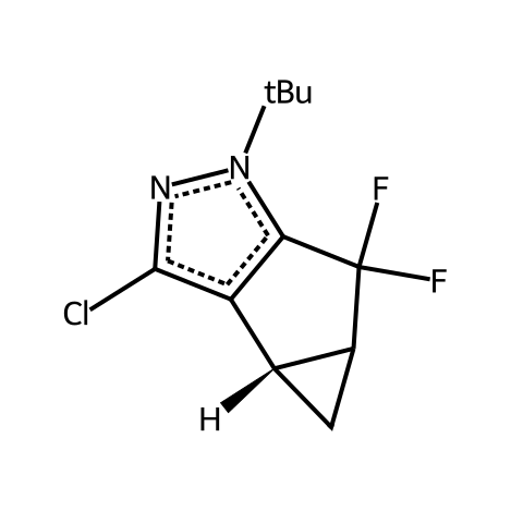 CC(C)(C)n1nc(Cl)c2c1C(F)(F)C1C[C@H]21